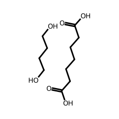 O=C(O)CCCCCC(=O)O.OCCCCO